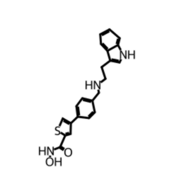 O=C(NO)c1cc(-c2ccc(CNCCc3c[nH]c4ccccc34)cc2)cs1